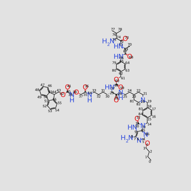 CCCCOc1nc(N)c2[nH]c(=O)n(Cc3ccc(CN4CCC(CCNC(=O)[C@H](CCCCNC(=O)CONC(=O)OCC5c6ccccc6-c6ccccc65)NC(=O)OCc5ccc(NC(=O)[C@H](C)NC(=O)[C@@H](N)C(C)C)cc5)CC4)cc3)c2n1